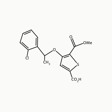 COC(=O)c1sc(C(=O)O)cc1OC(C)c1ccccc1Cl